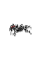 COc1ccc(CN2C(=O)C(C)(C)c3c(N4CCC(c5nc(C(=O)NN)c(C(=O)C(F)F)cc5NCCO)CC4)ncnc32)c(OC)c1